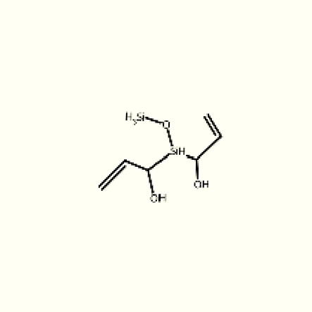 C=CC(O)[SiH](O[SiH3])C(O)C=C